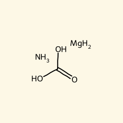 N.O=C(O)O.[MgH2]